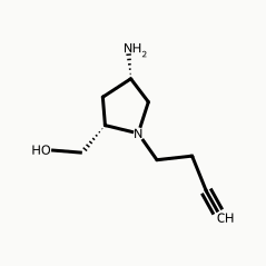 C#CCCN1C[C@@H](N)C[C@H]1CO